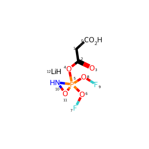 O=C(O)CC(=O)OP1(OF)(OF)NO1.[LiH]